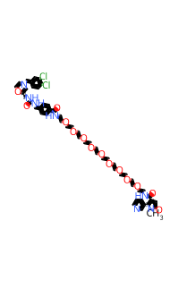 CN1C(=O)C[C@H](C(=O)NCCOCCOCCOCCOCCOCCOCCOCCOCCOCCNC(=O)c2ccc(CNC(=O)NC[C@H]3CN(Cc4ccc(Cl)c(Cl)c4)CCO3)cc2)[C@H]1c1cccnc1